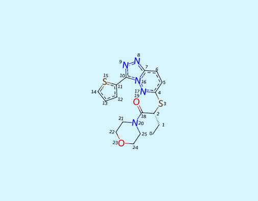 CC[C@@H](Sc1ccc2nnc(-c3cccs3)n2n1)C(=O)N1CCOCC1